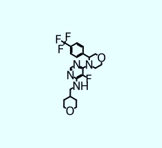 Fc1c(NCC2CCOCC2)ncnc1N1CCOCC1c1ccc(C(F)(F)F)cc1